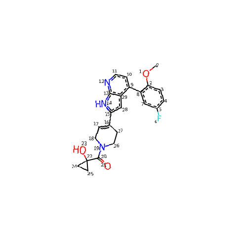 COc1ccc(F)cc1-c1ccnc2[nH]c(C3=CCN(C(=O)C4(O)CC4)CC3)cc12